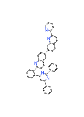 c1ccc(-c2cc(-c3ccccc3-c3ccc4cc(-c5ccc6ccc(-c7ccccn7)nc6c5)ccc4n3)nc(-c3ccccc3)n2)cc1